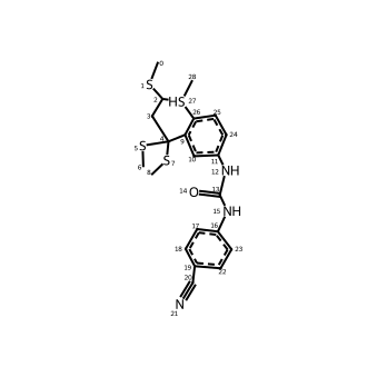 CSC1CC(SC)(SC)c2cc(NC(=O)Nc3ccc(C#N)cc3)ccc2[SH]1C